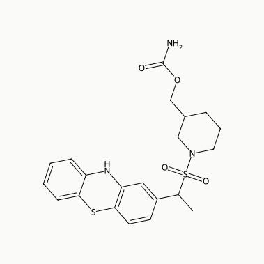 CC(c1ccc2c(c1)Nc1ccccc1S2)S(=O)(=O)N1CCCC(COC(N)=O)C1